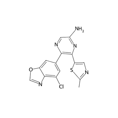 Cc1ncc(-c2nc(N)cnc2-c2cc(Cl)c3ncoc3c2)s1